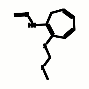 C=NNC1=C(SCSC)C=CC=CC1